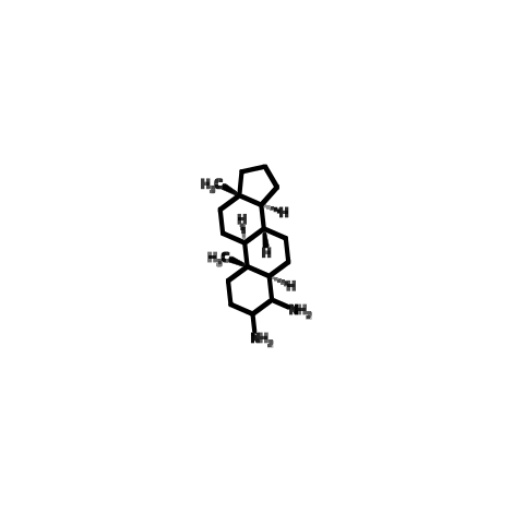 C[C@@]12CCC[C@H]1[C@@H]1CC[C@H]3C(N)C(N)CC[C@]3(C)[C@H]1CC2